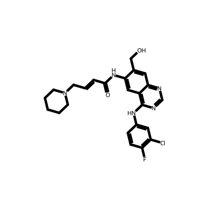 O=C(/C=C/CN1CCCCC1)Nc1cc2c(Nc3ccc(F)c(Cl)c3)ncnc2cc1CO